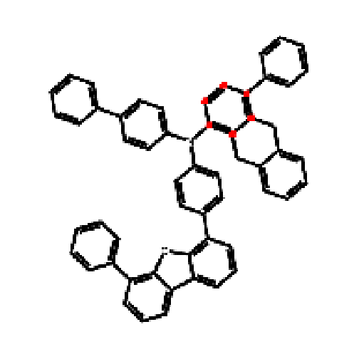 c1ccc(-c2ccc(N(c3ccc(-c4cccc5c4oc4c(-c6ccccc6)cccc45)cc3)c3ccc(-c4ccccc4)c4c3C3c5ccccc5C4c4ccccc43)cc2)cc1